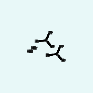 Br.Br.CC(C)P(C(C)C)C(C)C.CC(C)P(C(C)C)C(C)C